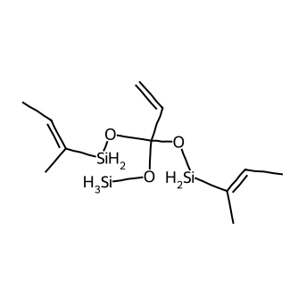 C=CC(O[SiH3])(O[SiH2]C(C)=CC)O[SiH2]C(C)=CC